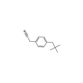 CC(C)(C)Cc1ccc(CC#N)cc1